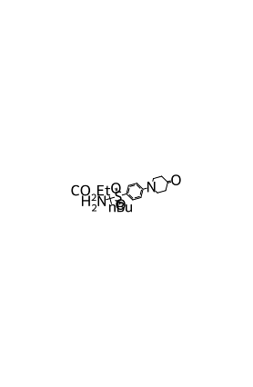 CCCCC(N)(C(=O)OCC)S(=O)(=O)c1ccc(N2CCC(=O)CC2)cc1